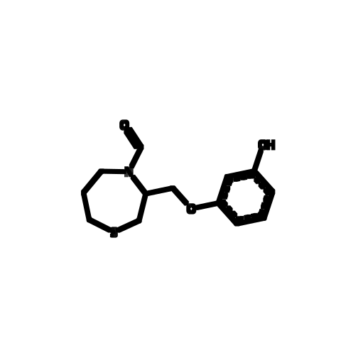 O=CN1CCCSCC1COc1cccc(O)c1